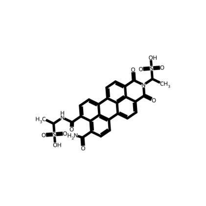 CC(NC(=O)c1ccc2c3ccc4c5c(ccc(c6ccc(C(N)=O)c1c62)c53)C(=O)N(C(C)S(=O)(=O)O)C4=O)S(=O)(=O)O